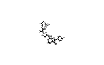 CCn1c(-c2cnc(C)nc2)nc2c(NC3CCN(C(=O)NCC4CCSC4(O)O)C3)ncnc21